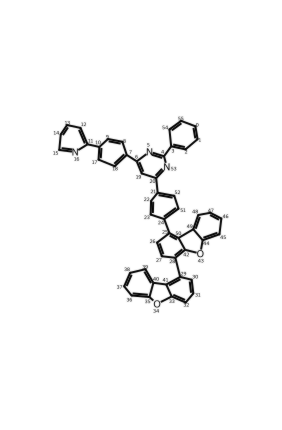 c1ccc(-c2nc(-c3ccc(-c4ccccn4)cc3)cc(-c3ccc(-c4ccc(-c5cccc6oc7ccccc7c56)c5oc6ccccc6c45)cc3)n2)cc1